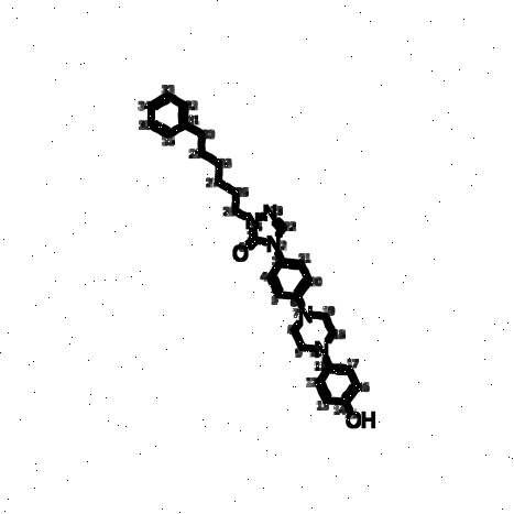 O=c1n(-c2ccc(N3CCN(c4ccc(O)cc4)CC3)cc2)cnn1CCCCCCc1ccccc1